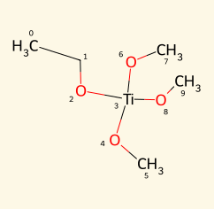 CC[O][Ti]([O]C)([O]C)[O]C